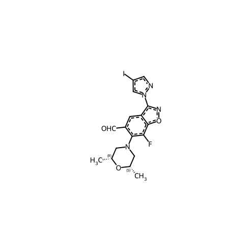 C[C@@H]1CN(c2c(C=O)cc3c(-n4cc(I)cn4)noc3c2F)C[C@H](C)O1